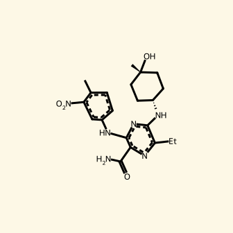 CCc1nc(C(N)=O)c(Nc2ccc(C)c([N+](=O)[O-])c2)nc1N[C@H]1CC[C@@](C)(O)CC1